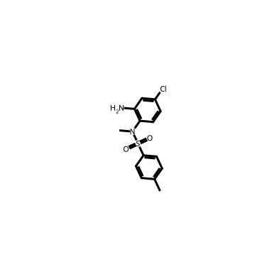 Cc1ccc(S(=O)(=O)N(C)c2ccc(Cl)cc2N)cc1